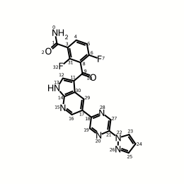 NC(=O)c1ccc(F)c(C(=O)c2c[nH]c3ncc(-c4cnc(-n5cccn5)cn4)cc23)c1F